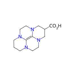 O=C(O)C1CN2CCN3CCCN4CCN(C1)C2=C34